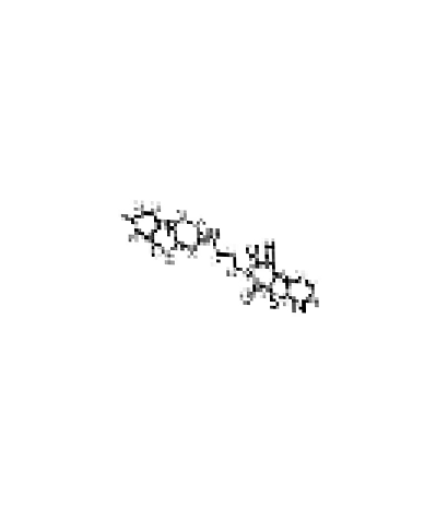 O=c1[nH]c2c(sc3ncccc32)c(=O)n1CCCCN1CCN2c3ccccc3OCC2C1